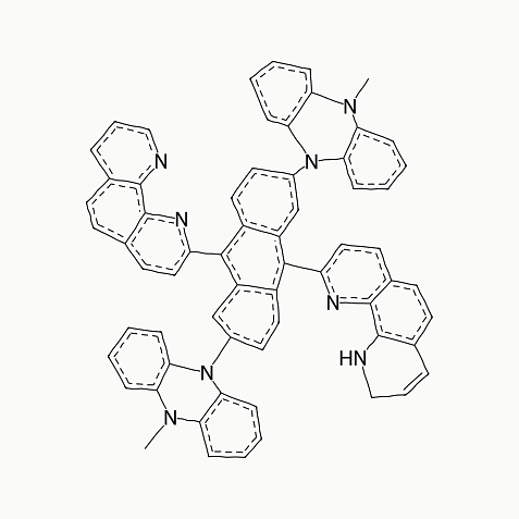 CN1c2ccccc2N(c2ccc3c(-c4ccc5ccc6cccnc6c5n4)c4cc(N5c6ccccc6N(C)c6ccccc65)ccc4c(-c4ccc5ccc6c(c5n4)NCC=C6)c3c2)c2ccccc21